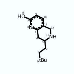 CC(C)(C)CCC1Cc2nc(O)ccc2CN1